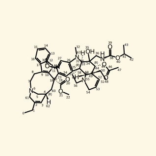 CCC1=C[C@@H]2CN(CCc3c([nH]c4ccccc34)[C@@](C(=O)OC)(c3cc4c(cc3OC)N(C)[C@H]3C(O)(CNC(=O)OC(C)C)[C@H](OC(C)=O)[C@]5(CC)C=CCN6CC[C@]43[C@@H]65)C2)C1